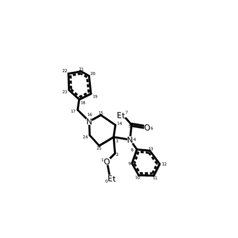 CCOCC1(N(C(=O)CC)c2ccccc2)CCN(Cc2ccccc2)CC1